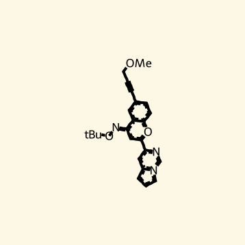 COCC#Cc1ccc2oc(-c3cc4cccn4cn3)cc(=NOC(C)(C)C)c2c1